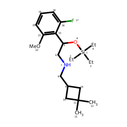 CC[Si](CC)(CC)OC(CNCC1CC(C)(C)C1)c1c(F)cccc1OC